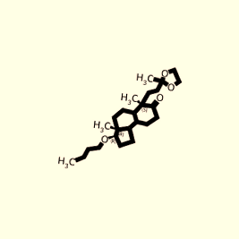 CCCCO[C@@H]1CCC2C3CCC(=O)[C@@](C)(CCC4(C)OCCO4)C3CC[C@]21C